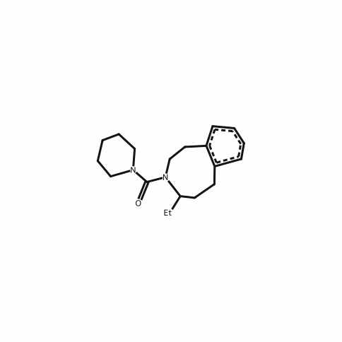 CCC1CCc2ccccc2CCN1C(=O)N1CCCCC1